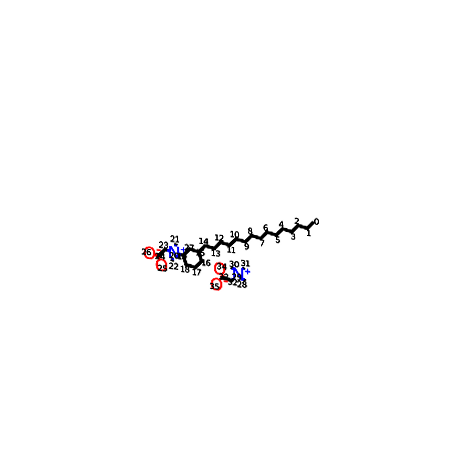 CCCCCCCCCCCCCCCC1CCCC([N+](C)(C)CC(=O)[O-])C1.C[N+](C)(C)CC(=O)[O-]